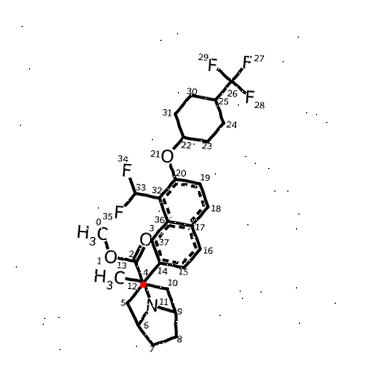 COC(=O)C1CC2CCC(C1)N2C(C)c1ccc2ccc(OC3CCC(C(F)(F)F)CC3)c(C(F)F)c2c1